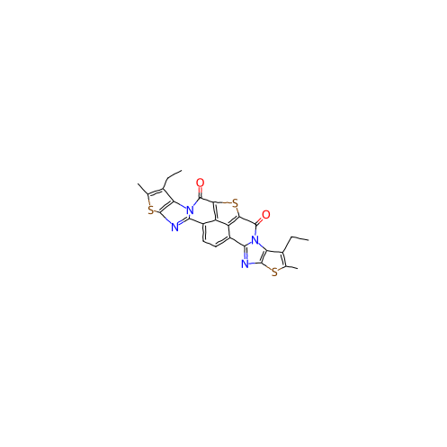 CCc1c(C)sc2nc3c4ccc5c6c(sc(c(=O)n3c12)c46)c(=O)n1c5nc2sc(C)c(CC)c21